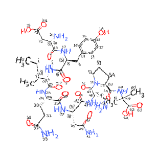 CC[C@H](C)[C@H](NC(=O)[C@H](Cc1ccc(O)cc1)NC(=O)[C@@H](N)CC(=O)O)C(=O)N[C@@H](CCC(N)=O)C(=O)N[C@@H](CC(N)=O)C(=O)N[C@@H](CN)C(=O)N1CCC[C@H]1C(=O)NC(C)(C)C(=O)O